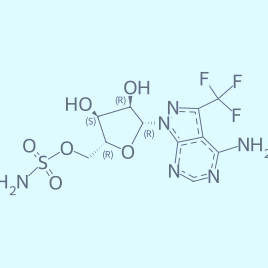 Nc1ncnc2c1c(C(F)(F)F)nn2[C@@H]1O[C@H](COS(N)(=O)=O)[C@@H](O)[C@H]1O